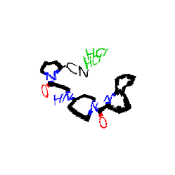 Cl.Cl.N#C[C@@H]1CCCN1C(=O)CNC1CCN(C(=O)c2ccc3ccccc3n2)CC1